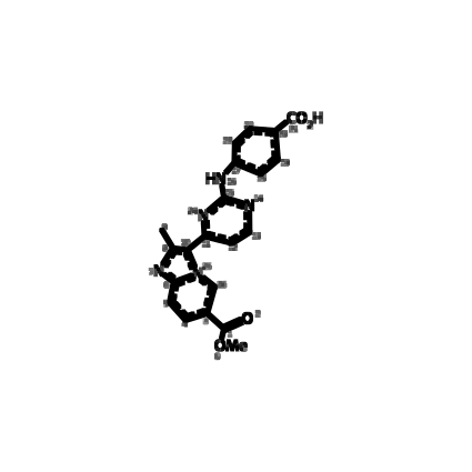 COC(=O)c1ccc2nc(C)c(-c3ccnc(Nc4ccc(C(=O)O)cc4)n3)n2c1